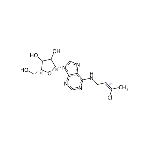 C/C(Cl)=C/CNc1ncnc2c1ncn2[C@@H]1O[C@H](CO)C(O)C1O